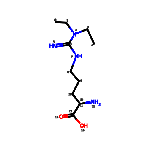 CCN(CC)C(=N)NCCC[C@@H](N)C(=O)O